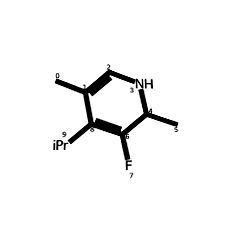 CC1=CNC(C)C(F)=C1C(C)C